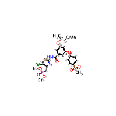 CCOP(=O)(Cc1nc(NC(=O)c2cc(Oc3ccc(S(C)(=O)=O)cc3)cc(O[C@@H](C)COC)c2)sc1Br)OCC